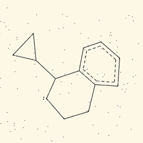 [C]1CCc2ccccc2C1C1CC1